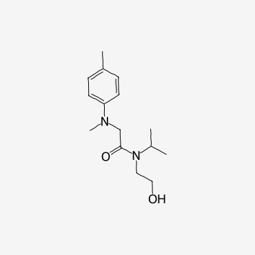 Cc1ccc(N(C)CC(=O)N(CCO)C(C)C)cc1